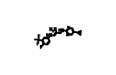 CC(F)(F)c1cc(N/C=C(\N)CNc2ncc(C3CC3)cn2)ccc1F